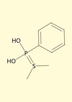 CS(C)=P(O)(O)c1ccccc1